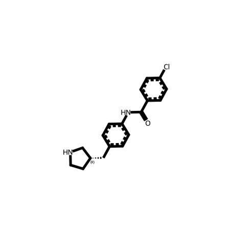 O=C(Nc1ccc(C[C@@H]2CCNC2)cc1)c1ccc(Cl)cc1